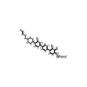 C/C=C/CCC1CCC(c2ccc(-c3ccc(-c4ccc(OCCCCC)c(F)c4F)cc3)cc2F)CC1